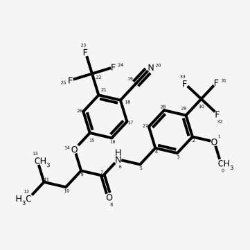 COc1cc(CNC(=O)C(CC(C)C)Oc2ccc(C#N)c(C(F)(F)F)c2)ccc1C(F)(F)F